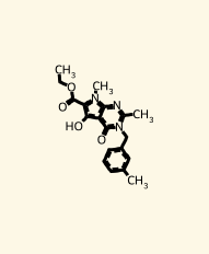 CCOC(=O)c1c(O)c2c(=O)n(Cc3cccc(C)c3)c(C)nc2n1C